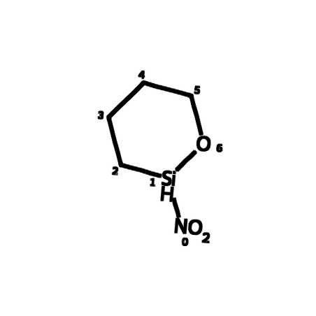 O=[N+]([O-])[SiH]1CCCCO1